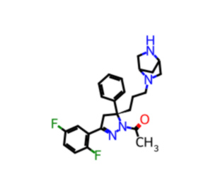 CC(=O)N1N=C(c2cc(F)ccc2F)C[C@]1(CCCN1CC2CC1CN2)c1ccccc1